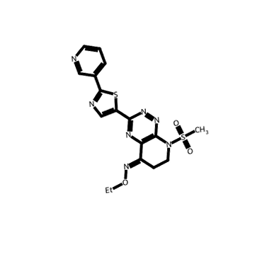 CCO/N=C1\CCN(S(C)(=O)=O)c2nnc(-c3cnc(-c4cccnc4)s3)nc21